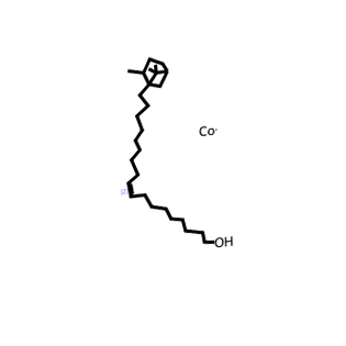 CC1CCC2CC1(CCCCCCCC/C=C\CCCCCCCCO)C2(C)C.[Co]